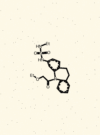 CCNS(=O)(=O)Nc1ccc2c(c1)N(C(=O)COCC)c1ccccc1CC2